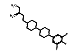 C=C(CC)CCC1CCC(C2CCC(c3cc(F)c(F)c(F)c3)CC2)CC1